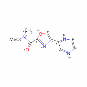 CON(C)C(=O)c1nc(-c2cnccn2)co1